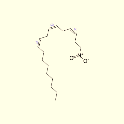 CCCCCCCC/C=C\C/C=C\C/C=C\CC[N+](=O)[O-]